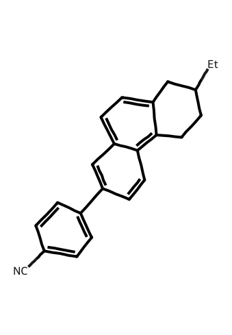 CCC1CCc2c(ccc3cc(-c4ccc(C#N)cc4)ccc23)C1